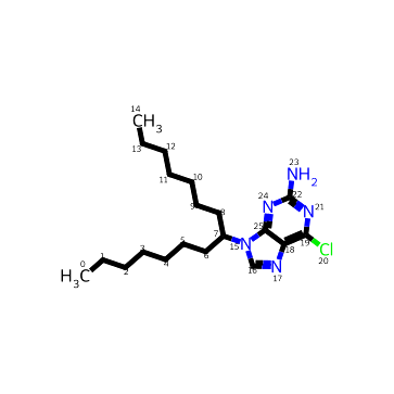 CCCCCCCC(CCCCCCC)n1cnc2c(Cl)nc(N)nc21